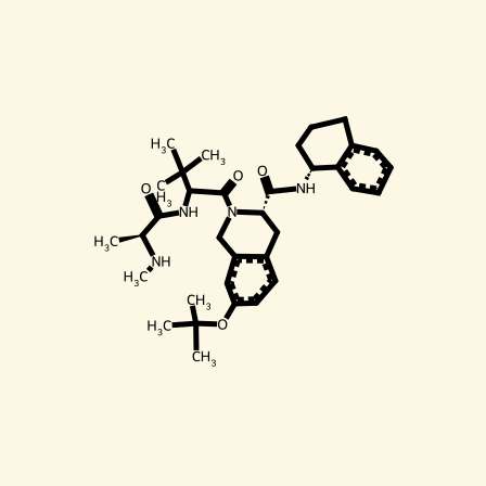 CN[C@@H](C)C(=O)NC(C(=O)N1Cc2cc(OC(C)(C)C)ccc2C[C@H]1C(=O)N[C@@H]1CCCc2ccccc21)C(C)(C)C